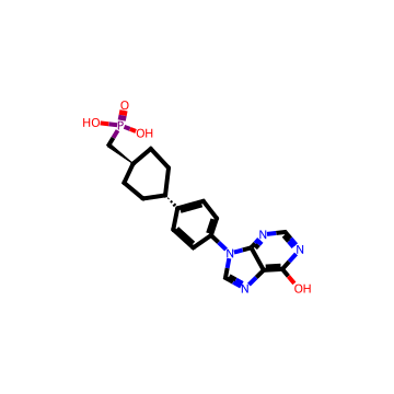 O=P(O)(O)C[C@H]1CC[C@H](c2ccc(-n3cnc4c(O)ncnc43)cc2)CC1